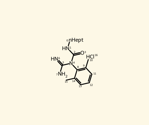 CCCCCCCNC(=O)N(C(=N)N)c1c(C)cccc1C.Cl